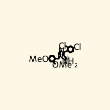 COc1ccc(Cn2cnc(-c3ccc(Cl)cc3Cl)c2[C@H](C)N)c(OC)c1